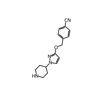 N#Cc1ccc(COc2ccn(C3CCNCC3)n2)cc1